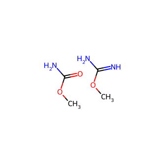 COC(=N)N.COC(N)=O